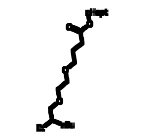 CCCCCCCOC(=O)CCCOCCOCC(CC)CCCC